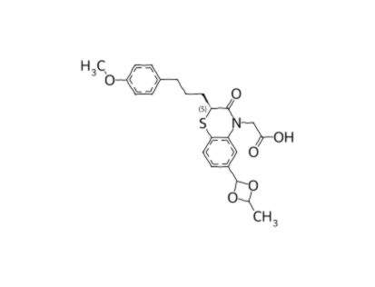 COc1ccc(CCC[C@@H]2Sc3ccc(C4OC(C)O4)cc3N(CC(=O)O)C2=O)cc1